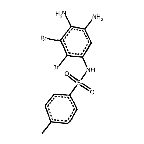 Cc1ccc(S(=O)(=O)Nc2cc(N)c(N)c(Br)c2Br)cc1